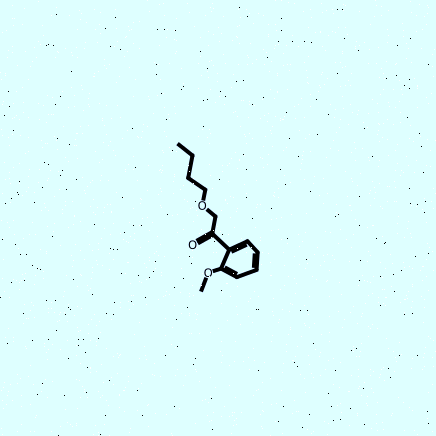 CCCCOCC(=O)c1ccccc1OC